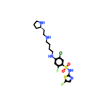 O=S(=O)(Nc1ncc(F)s1)c1cc(Cl)c(NCCCCNCC[C@@H]2CCCN2)cc1F